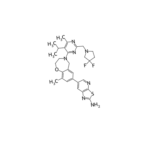 Cc1cc(-c2cnc3sc(N)nc3c2)cc2c1OCCN(c1nc(CN3CCC(F)(F)C3)nc(C)c1C(C)C)C2